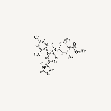 CC[C@@H]1C[C@H](N(Cc2cc(Cl)cc(C(F)(F)F)c2)c2ncc(-c3cncn3C)cn2)C[C@H](CC)N1C(=O)OC(C)C